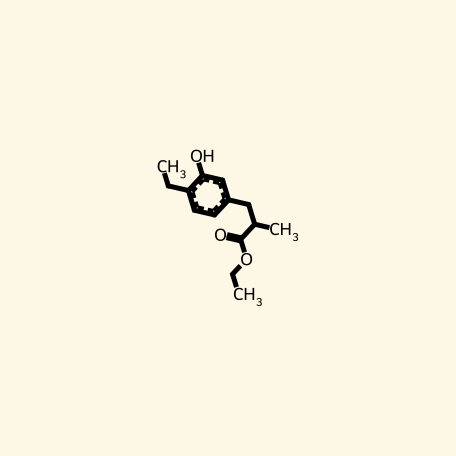 CCOC(=O)C(C)Cc1ccc(CC)c(O)c1